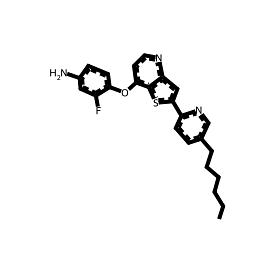 CCCCCCc1ccc(-c2cc3nccc(Oc4ccc(N)cc4F)c3s2)nc1